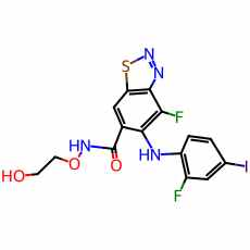 O=C(NOCCO)c1cc2snnc2c(F)c1Nc1ccc(I)cc1F